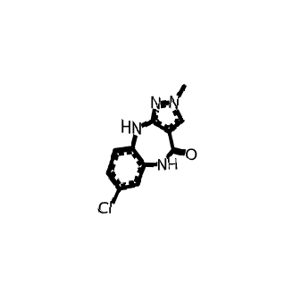 Cn1cc2c(n1)Nc1ccc(Cl)cc1NC2=O